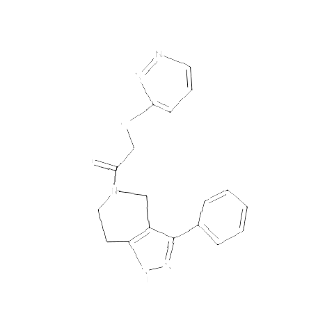 O=C(COc1cccnn1)N1CCc2[nH]nc(-c3ccccc3)c2C1